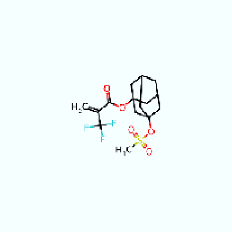 C=C(C(=O)OC12CC3CC(C1)CC(OS(C)(=O)=O)(C3)C2)C(F)(F)F